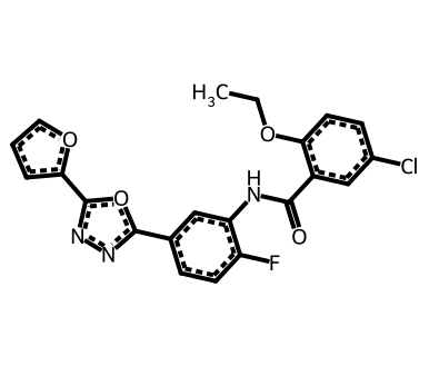 CCOc1ccc(Cl)cc1C(=O)Nc1cc(-c2nnc(-c3ccco3)o2)ccc1F